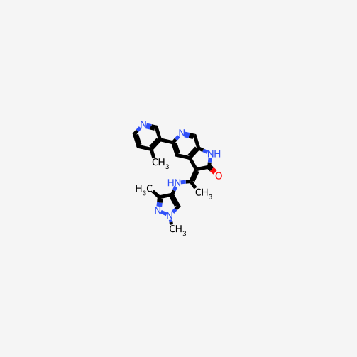 CC(Nc1cn(C)nc1C)=C1C(=O)Nc2cnc(-c3cnccc3C)cc21